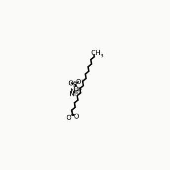 CCCCCCCCCCCCCCCCCC(=O)[O-].[Ni+2].[Ni+2].[O-]B([O-])[O-]